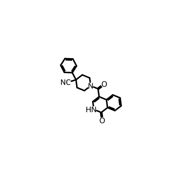 N#CC1(c2ccccc2)CCN(C(=O)c2c[nH]c(=O)c3ccccc23)CC1